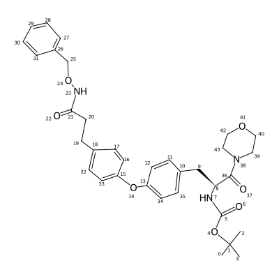 CC(C)(C)OC(=O)N[C@@H](Cc1ccc(Oc2ccc(CCC(=O)NOCc3ccccc3)cc2)cc1)C(=O)N1CCOCC1